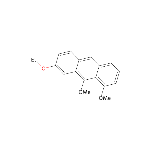 CCOc1ccc2cc3cccc(OC)c3c(OC)c2c1